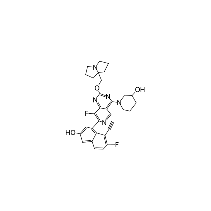 C#Cc1c(F)ccc2cc(O)cc(-c3ncc4c(N5CCCC(O)C5)nc(OCC56CCCN5CCC6)nc4c3F)c12